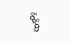 O=C1c2cc(O)ccc2CN1c1ccc2ccsc2c1